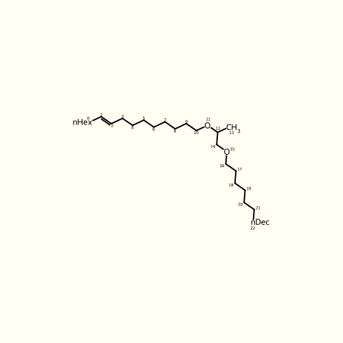 CCCCCCC=CCCCCCCCCOC(C)COCCCCCCCCCCCCCCCC